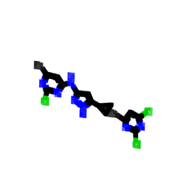 CCc1cc(Cl)nc(Cl)n1.CCc1cc(Nc2cc(C3CC3)[nH]n2)nc(Cl)n1